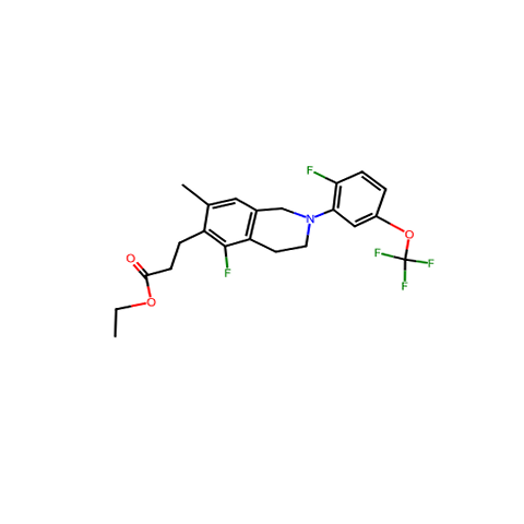 CCOC(=O)CCc1c(C)cc2c(c1F)CCN(c1cc(OC(F)(F)F)ccc1F)C2